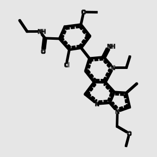 CCNC(=O)c1cc(OC)cc(-c2cc3cnc4c(c(C)cn4COC)c3n(CC)c2=N)c1Cl